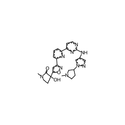 CN1CCC(n2cc(Nc3nccc(-c4cccc(-c5cc(C6(O)CCN(C)C6=O)on5)n4)n3)cn2)C1